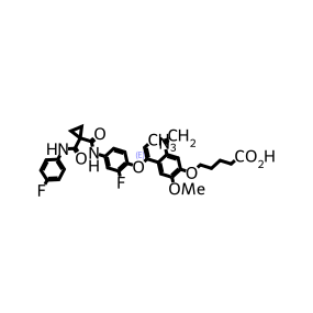 C=Nc1cc(OCCCCC(=O)O)c(OC)cc1/C(=C\C)Oc1ccc(NC(=O)C2(C(=O)Nc3ccc(F)cc3)CC2)cc1F